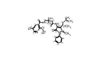 CCOc1ncc(Cl)cc1C(=O)NCC(C)(C)CC(=O)Nc1c([C@@H](C)CN(C)C)n(C)n(-c2ccccc2)c1=O